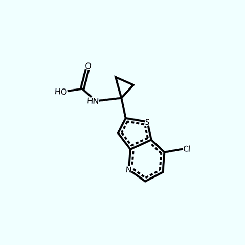 O=C(O)NC1(c2cc3nccc(Cl)c3s2)CC1